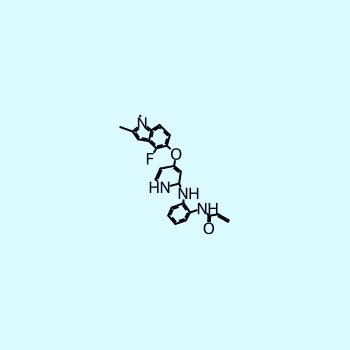 C=CC(=O)Nc1ccccc1NC1C=C(Oc2ccc3c(cc(C)n3C)c2F)C=CN1